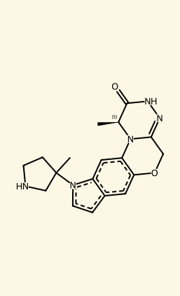 C[C@H]1C(=O)NN=C2COc3cc4ccn(C5(C)CCNC5)c4cc3N21